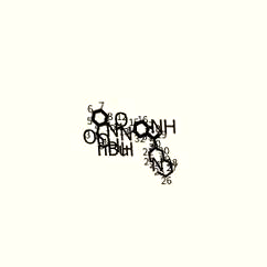 CCCCOC(=O)c1ccccc1NC(=O)Nc1ccc2[nH]cc(C3CCN4CCCCC4C3)c2c1